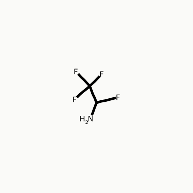 NC(F)C(F)(F)F